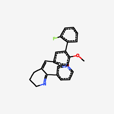 COc1ccc(/C=C2/CCCN=C2c2cccnc2)cc1-c1ccccc1F